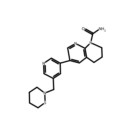 NC(=O)N1CCCc2cc(-c3cncc(CN4CCCCS4)c3)cnc21